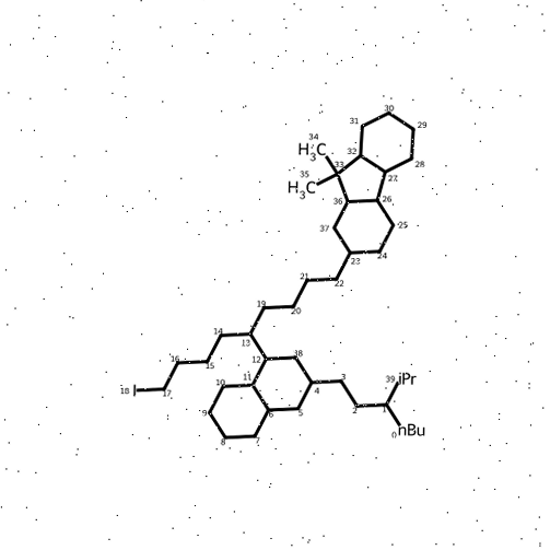 CCCCC(CCC1CC2CCCCC2C(C(CCCCI)CCCCC2CCC3C4CCCCC4C(C)(C)C3C2)C1)C(C)C